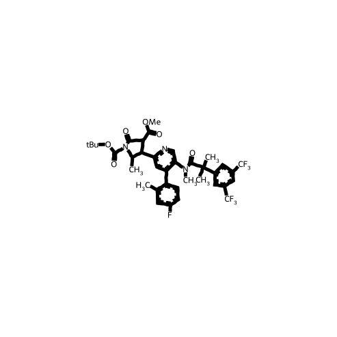 COC(=O)C1C(=O)N(C(=O)OC(C)(C)C)C(C)C1c1cc(-c2ccc(F)cc2C)c(N(C)C(=O)C(C)(C)c2cc(C(F)(F)F)cc(C(F)(F)F)c2)cn1